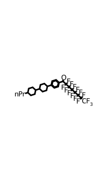 CCCC1CCC(C2CCC(c3ccc(C(=O)C(F)(F)C(F)(F)C(F)(F)C(F)(F)C(F)(F)C(F)(F)C(F)(F)F)cc3)CC2)CC1